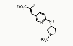 CCOC(=O)C(F)=Cc1ccc(N[C@@H]2CCN(C(=O)O)C2)nc1